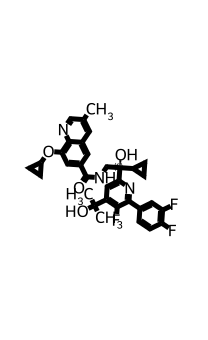 Cc1cnc2c(OC3CC3)cc(C(=O)NC[C@](O)(c3cc(C(C)(C)O)c(F)c(-c4ccc(F)c(F)c4)n3)C3CC3)cc2c1